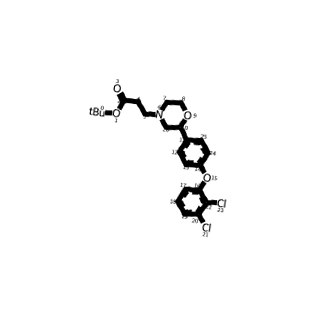 CC(C)(C)OC(=O)CCN1CCOC(c2ccc(Oc3cccc(Cl)c3Cl)cc2)C1